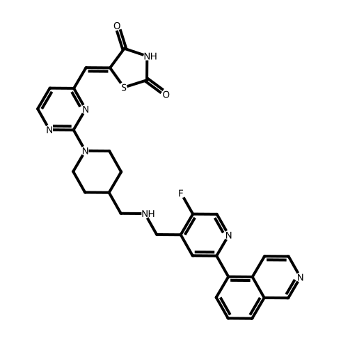 O=C1NC(=O)C(=Cc2ccnc(N3CCC(CNCc4cc(-c5cccc6cnccc56)ncc4F)CC3)n2)S1